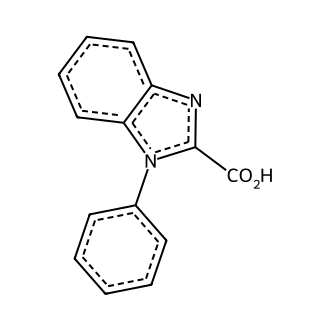 O=C(O)c1nc2ccccc2n1-c1ccccc1